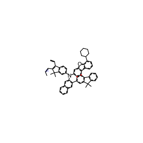 C=CC1=C(/C=C\C)C(C)(C)c2cc(N(c3ccc4c(c3)oc3c(C5CCCCC5)cccc34)c3cc4ccccc4cc3-c3ccc4c(c3)C(C)(C)c3ccccc3-4)ccc21